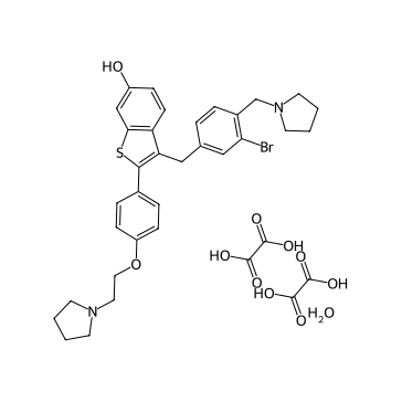 O.O=C(O)C(=O)O.O=C(O)C(=O)O.Oc1ccc2c(Cc3ccc(CN4CCCC4)c(Br)c3)c(-c3ccc(OCCN4CCCC4)cc3)sc2c1